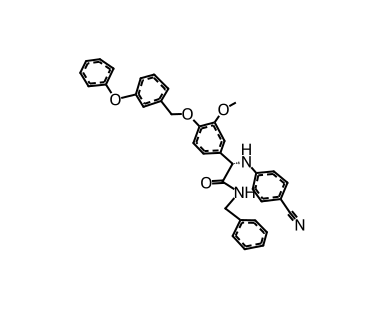 COc1cc([C@H](Nc2ccc(C#N)cc2)C(=O)NCc2ccccc2)ccc1OCc1cccc(Oc2ccccc2)c1